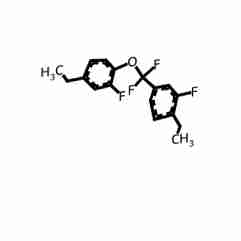 CCc1ccc(OC(F)(F)c2ccc(CC)c(F)c2)c(F)c1